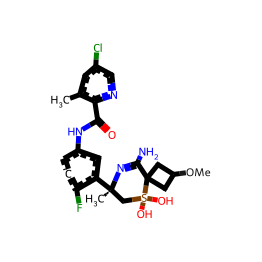 COC1CC2(C1)C(N)=N[C@](C)(c1cc(NC(=O)c3ncc(Cl)cc3C)ccc1F)CS2(O)O